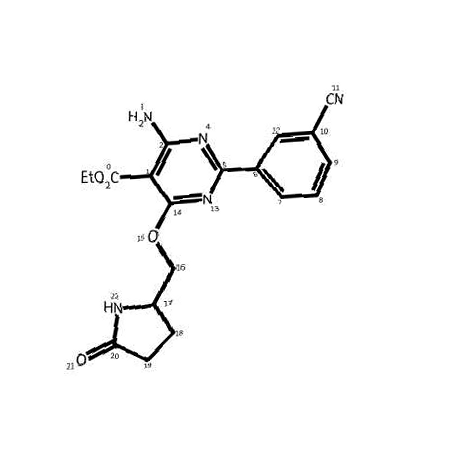 CCOC(=O)c1c(N)nc(-c2cccc(C#N)c2)nc1OCC1CCC(=O)N1